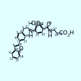 CC(C)COC[C@@H](Cc1ccc(-c2cc3ccccc3o2)cc1)Nc1ccc(C(=O)NCCC(=O)O)cc1